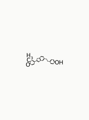 CC1C=C(C2=Cc3cc(CCc4ccc(O)cc4)ccc3C2)C=CC1=O